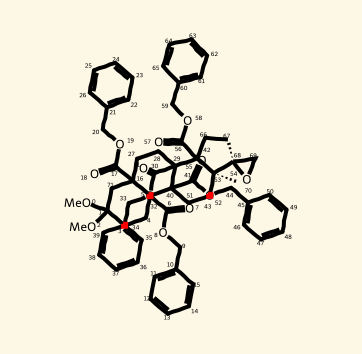 COC1(OC)CCC2(C(=O)OCc3ccccc3)C(C(=O)OCc3ccccc3)(CCC3(C(=O)OCc4ccccc4)C2(C(=O)OCc2ccccc2)CC[C@@]2(C)C3(C(=O)OCc3ccccc3)CC[C@@]23CO3)C1